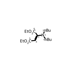 CCCCN(CCCC)C(=CC(=O)OCC)C(=O)OCC